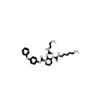 CCCCCCNC(=O)OC1CCCN(C(=O)Oc2ccc(Oc3ccccc3)cc2)C1OC(=O)NCCC